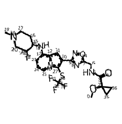 COC1(C(=O)NCc2nc(-c3cc4c(N[C@@H]5CCN(C)C[C@@H]5F)cccn4c3SC(F)(F)F)no2)CC1